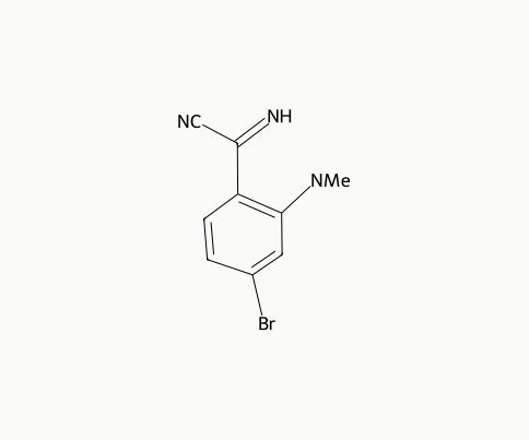 CNc1cc(Br)ccc1C(=N)C#N